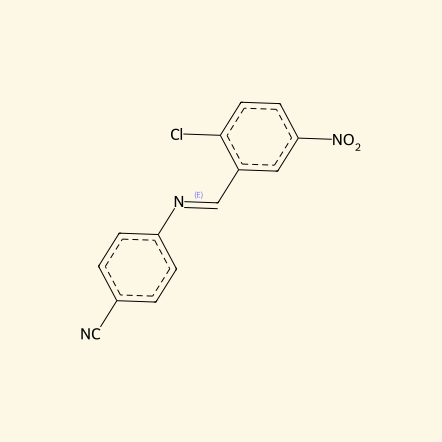 N#Cc1ccc(/N=C/c2cc([N+](=O)[O-])ccc2Cl)cc1